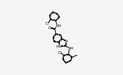 Cc1cccc(Cl)c1Nc1nc2cc(C(=O)Nc3ccccc3Cl)ccc2[nH]1